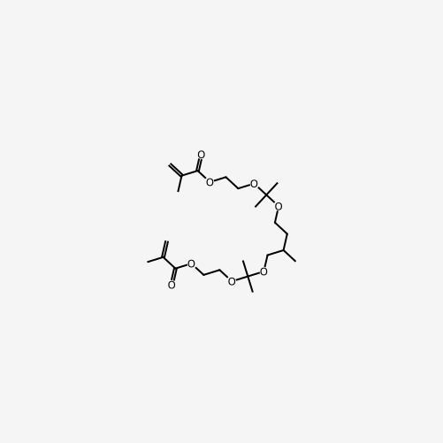 C=C(C)C(=O)OCCOC(C)(C)OCCC(C)COC(C)(C)OCCOC(=O)C(=C)C